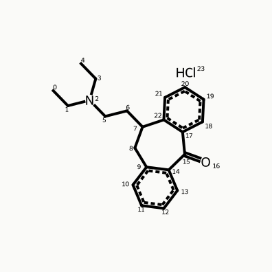 CCN(CC)CCC1Cc2ccccc2C(=O)c2ccccc21.Cl